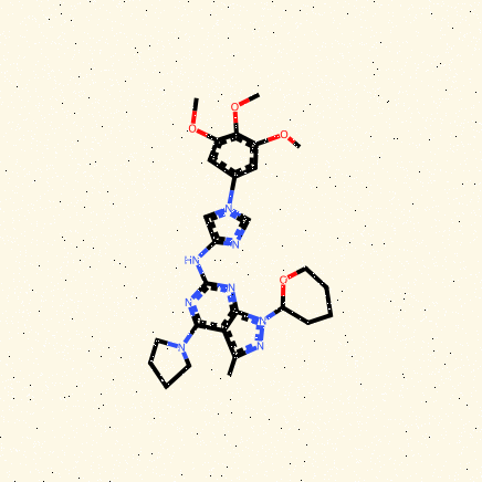 COc1cc(-n2cnc(Nc3nc(N4CCCC4)c4c(C)nn(C5CCCCO5)c4n3)c2)cc(OC)c1OC